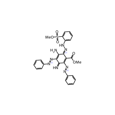 COC(=O)C1=C(/N=N/c2ccccc2)C(=N)C(/N=N/c2ccccc2)=C(N)/C1=N\Nc1ccccc1S(=O)(=O)OC